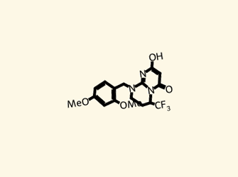 COc1ccc(CN2CCC(C(F)(F)F)n3c2nc(O)cc3=O)c(OC)c1